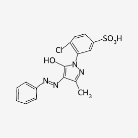 Cc1nn(-c2cc(S(=O)(=O)O)ccc2Cl)c(O)c1N=Nc1ccccc1